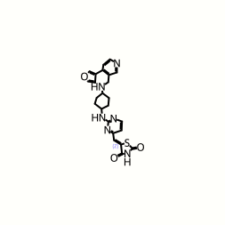 O=C1NC(=O)/C(=C/c2ccnc(NC3CCC(NCc4cnccc4-c4ccoc4)CC3)n2)S1